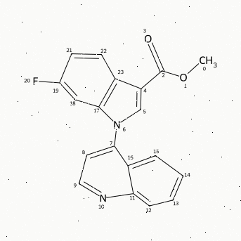 COC(=O)c1cn(-c2ccnc3ccccc23)c2cc(F)ccc12